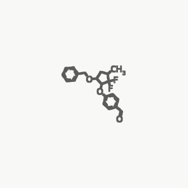 CC1CC(OCc2ccccc2)C(Oc2ccc(C=O)cc2)C1(F)F